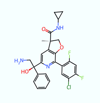 C[C@]1(C(=O)NC2CC2)COc2c1cc([C@@](O)(CN)c1ccccc1)nc2-c1cc(Cl)c(F)cc1F